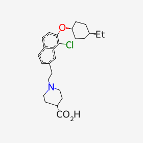 CC[C@H]1CC[C@@H](Oc2ccc3ccc(CCN4CCC(C(=O)O)CC4)cc3c2Cl)CC1